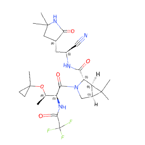 C[C@@H](OC1(C)CC1)[C@H](NC(=O)C(F)(F)F)C(=O)N1C[C@H]2[C@@H]([C@H]1C(=O)N[C@H](C#N)C[C@@H]1CC(C)(C)NC1=O)C2(C)C